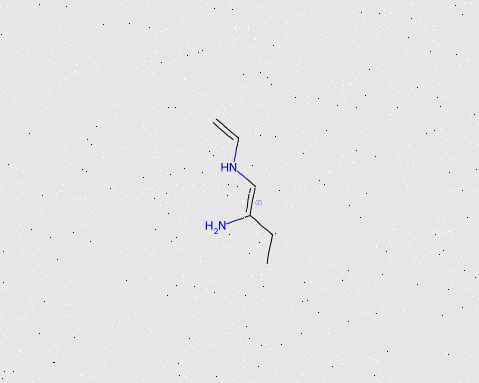 C=CN/C=C(\N)CC